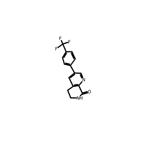 O=C1NCCc2cc(-c3ccc(C(F)(F)F)cc3)cnc21